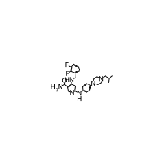 CC(C)CN1CCN(c2ccc(Nc3cc(NCc4cccc(F)c4F)c(C(N)=O)cn3)cc2)CC1